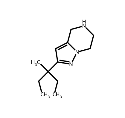 CCC(C)(CC)c1cc2n(n1)CCNC2